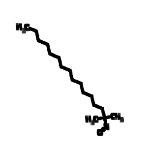 CCCCCCCCCCCCCCC(C)(C)N=O